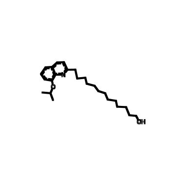 CC(C)Oc1cccc2ccc(CCCCCCCCCCCCCO)nc12